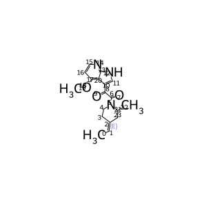 C/C=C1\CCN(C(=O)C(=O)c2c[nH]c3nccc(OC)c23)C(C)C1